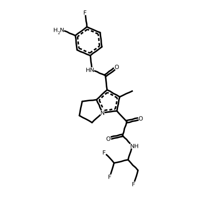 Cc1c(C(=O)Nc2ccc(F)c(N)c2)c2n(c1C(=O)C(=O)NC(CF)C(F)F)CCC2